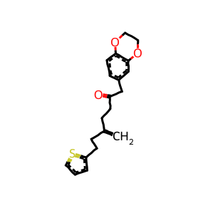 C=C(CCC(=O)Cc1ccc2c(c1)OCCO2)CCc1cccs1